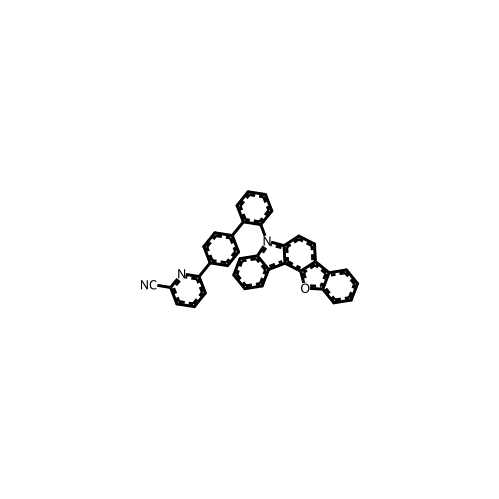 N#Cc1cccc(-c2ccc(-c3ccccc3-n3c4ccccc4c4c5oc6ccccc6c5ccc43)cc2)n1